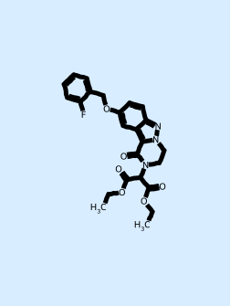 CCOC(=O)C(C(=O)OCC)N1CCn2nc3ccc(OCc4ccccc4F)cc3c2C1=O